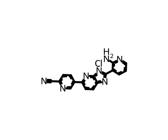 N#Cc1ccc(-c2ccc3nc(-c4cccnc4N)n(Cl)c3n2)cn1